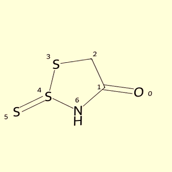 O=C1CSS(=S)N1